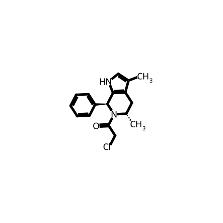 Cc1c[nH]c2c1C[C@H](C)N(C(=O)CCl)[C@H]2c1ccccc1